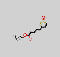 CCOC(=O)CCCCC1CC[S+]([O-])S1